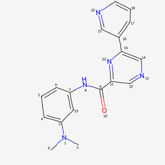 CN(C)c1cccc(NC(=O)c2cncc(-c3cccnc3)n2)c1